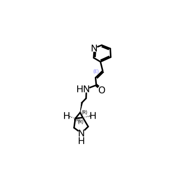 O=C(/C=C/c1cccnc1)NCC[C@H]1[C@H]2CNC[C@@H]12